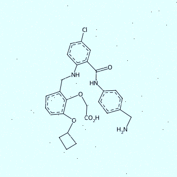 NCc1ccc(NC(=O)c2cc(Cl)ccc2NCc2cccc(OC3CCC3)c2OCC(=O)O)cc1